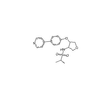 CC(C)S(=O)(=O)NC1COCC1Oc1ccc(-c2ccncc2)cc1